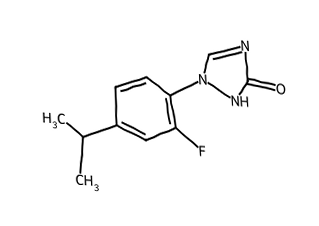 CC(C)c1ccc(-n2cnc(=O)[nH]2)c(F)c1